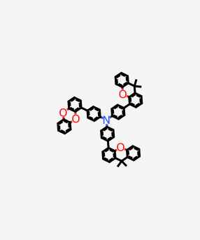 CC1(C)c2ccccc2Oc2c(-c3ccc(N(c4ccc(-c5cccc6c5Oc5ccccc5O6)cc4)c4ccc(-c5cccc6c5Oc5ccccc5C6(C)C)cc4)cc3)cccc21